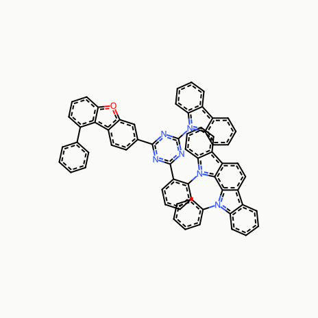 c1ccc(-c2cccc3oc4cc(-c5nc(-c6ccccc6-n6c7ccccc7c7ccc8c9ccccc9n(-c9ccccc9)c8c76)nc(-n6c7ccccc7c7ccccc76)n5)ccc4c23)cc1